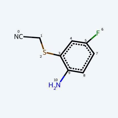 N#CCSc1cc(F)ccc1N